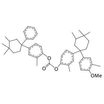 COc1ccc(C2(c3ccc(OC(=O)Oc4ccc(C5(c6ccccc6)CCC(C)(C)C(C)C5)cc4C)c(C)c3)CCC(C)(C)C(C)C2)cc1C